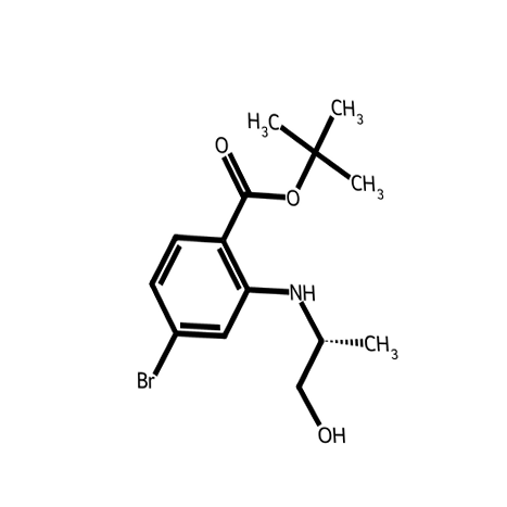 C[C@H](CO)Nc1cc(Br)ccc1C(=O)OC(C)(C)C